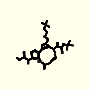 COC(=O)Nc1ccc2c(c1)NC(=O)C/C=C/C[C@H](NC(=O)OC(C)(C)C)c1nc-2cn1COCC[Si](C)(C)C